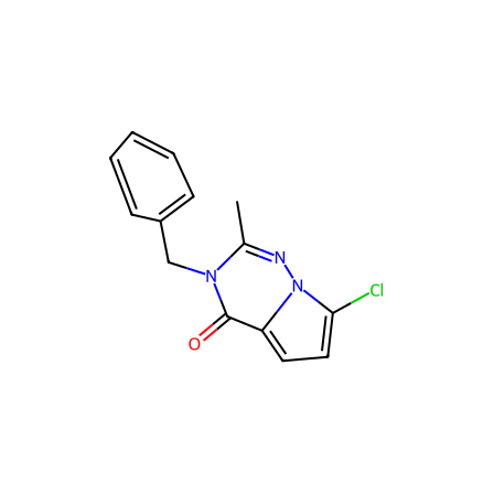 Cc1nn2c(Cl)ccc2c(=O)n1Cc1ccccc1